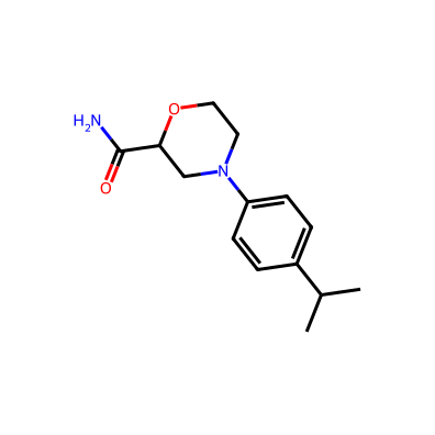 CC(C)c1ccc(N2CCOC(C(N)=O)C2)cc1